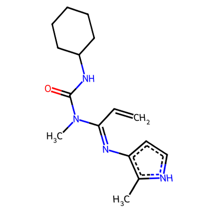 C=C/C(=N\c1cc[nH]c1C)N(C)C(=O)NC1CCCCC1